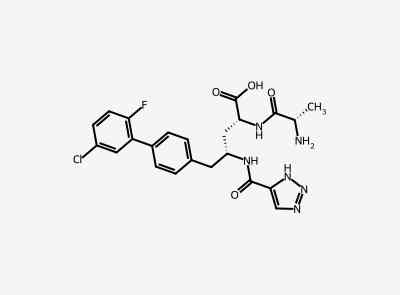 C[C@H](N)C(=O)N[C@H](C[C@@H](Cc1ccc(-c2cc(Cl)ccc2F)cc1)NC(=O)c1cnn[nH]1)C(=O)O